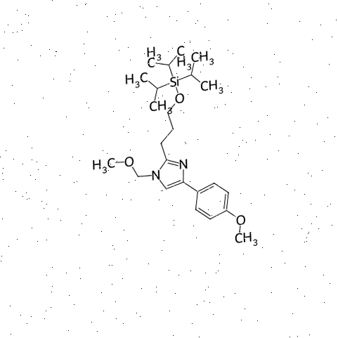 COCn1cc(-c2ccc(OC)cc2)nc1CCCO[Si](C(C)C)(C(C)C)C(C)C